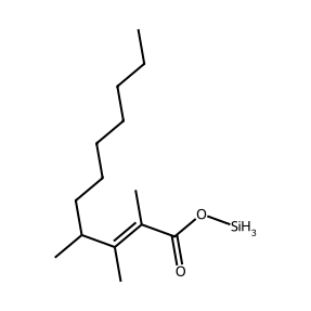 CCCCCCCC(C)C(C)=C(C)C(=O)O[SiH3]